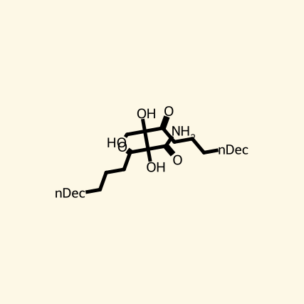 CCCCCCCCCCCCCC(=O)C(O)(CO)C(O)(C(N)=O)C(=O)CCCCCCCCCCCCC